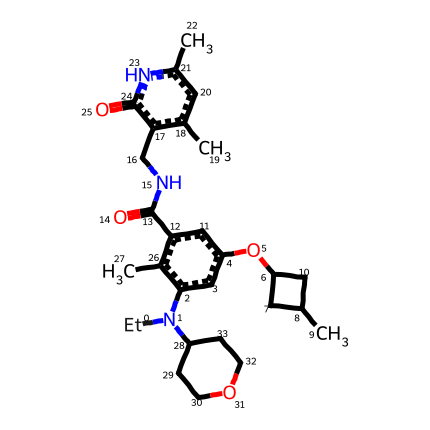 CCN(c1cc(OC2CC(C)C2)cc(C(=O)NCc2c(C)cc(C)[nH]c2=O)c1C)C1CCOCC1